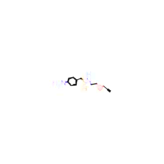 C#CCOCCN[SH]=Cc1ccc(N)cc1